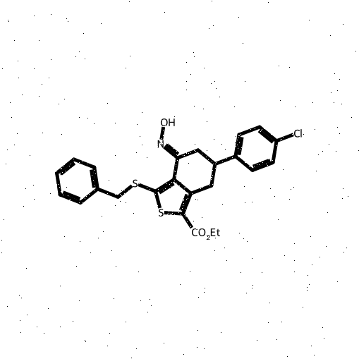 CCOC(=O)c1sc(SCc2ccccc2)c2c1CC(c1ccc(Cl)cc1)C/C2=N\O